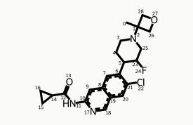 CC1(N2CCC(c3cc4cc(NC(=O)C5CC5)ncc4cc3Cl)C(F)C2)COC1